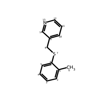 Cc1ccccc1SCc1cccnc1